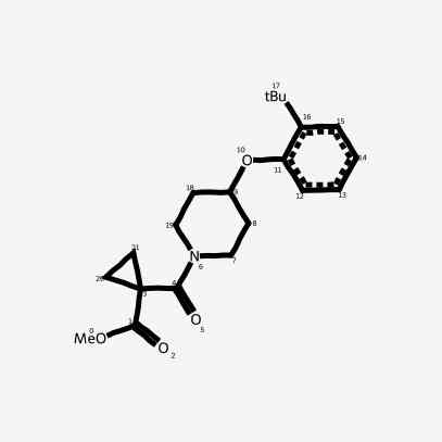 COC(=O)C1(C(=O)N2CCC(Oc3ccccc3C(C)(C)C)CC2)CC1